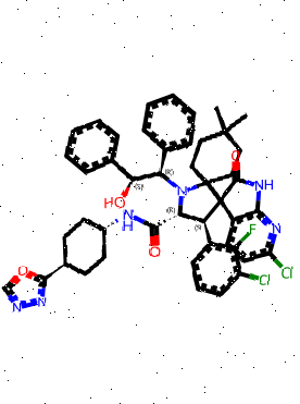 CC1(C)CCC2(CC1)N([C@H](c1ccccc1)[C@@H](O)c1ccccc1)[C@@H](C(=O)N[C@H]1CC[C@H](c3nnco3)CC1)[C@H](c1cccc(Cl)c1F)C21C(=O)Nc2nc(Cl)ccc21